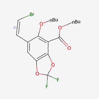 CCCCOC(=O)c1c(OCCCC)c(/C=C\Br)cc2c1OC(F)(F)O2